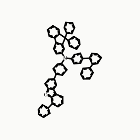 c1ccc(-c2ccccc2-c2ccc(N(c3ccc(-c4ccc5oc6c(-c7ccccc7)cccc6c5c4)cc3)c3ccc4c(c3)C(c3ccccc3)(c3ccccc3)c3ccccc3-4)cc2)cc1